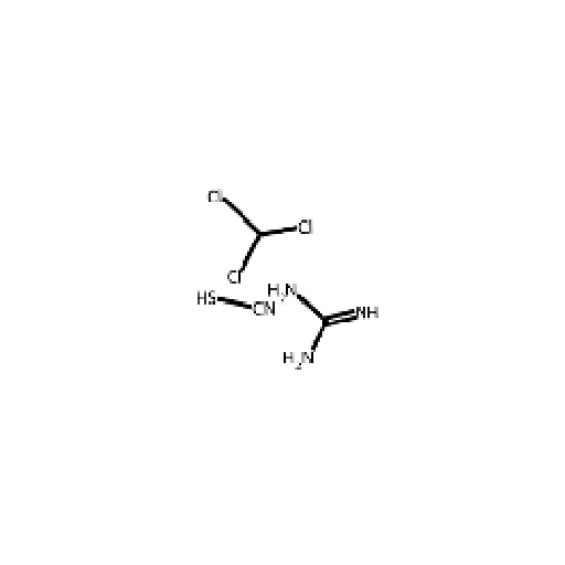 ClC(Cl)Cl.N#CS.N=C(N)N